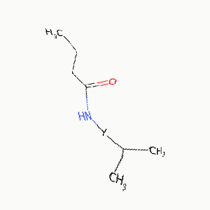 CCCC(=O)[NH][Y][CH](C)C